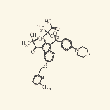 Cc1cccc(COc2ccn3c(C(=O)c4ccc(N5CCOCC5)cc4)c(CC(C)(C)C(=O)O)c(C(=O)C(C)(C)C)c3c2)n1